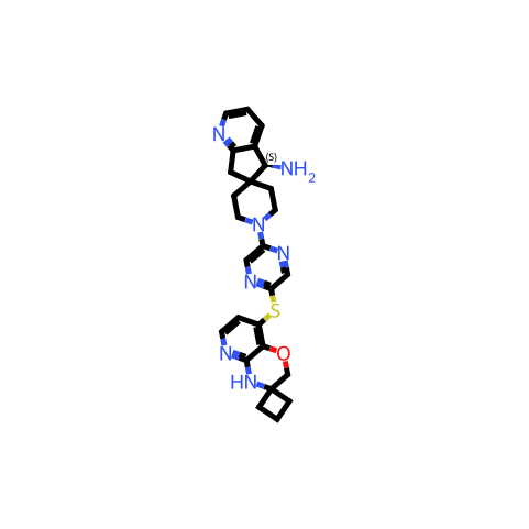 N[C@@H]1c2cccnc2CC12CCN(c1cnc(Sc3ccnc4c3OCC3(CCC3)N4)cn1)CC2